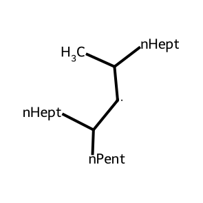 CCCCCCCC(C)[CH]C(CCCCC)CCCCCCC